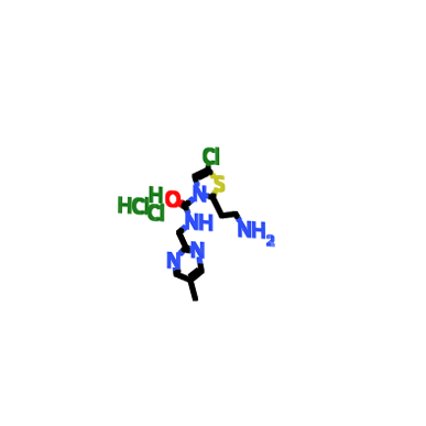 Cc1cnc(CNC(=O)N2C=C(Cl)SC2CCN)nc1.Cl.Cl